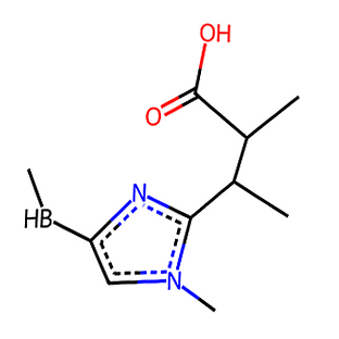 CBc1cn(C)c(C(C)C(C)C(=O)O)n1